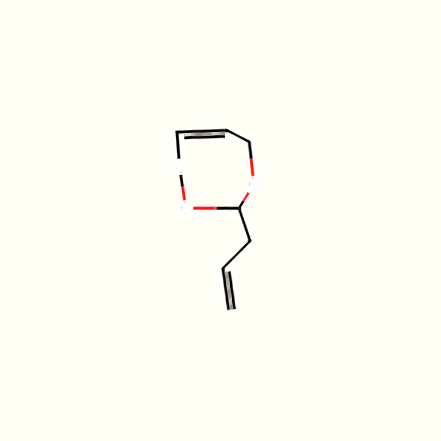 C=CCC1OCC=CCO1